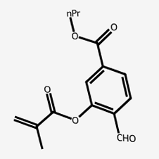 C=C(C)C(=O)Oc1cc(C(=O)OCCC)ccc1C=O